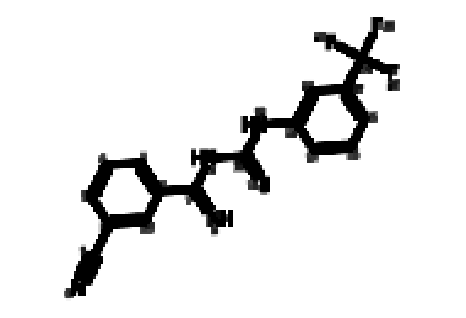 N#Cc1cccc(C(=N)NC(=S)Nc2cccc(C(F)(F)F)c2)c1